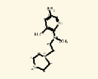 Cc1cc(N)cnc1N(C)CCN1CCOCC1